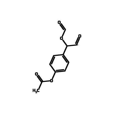 CC(=O)Oc1ccc(C([C]=O)OC=O)cc1